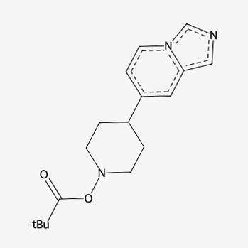 CC(C)(C)C(=O)ON1CCC(c2ccn3cncc3c2)CC1